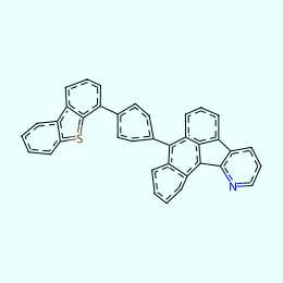 c1cnc2c(c1)-c1cccc3c(-c4ccc(-c5cccc6c5sc5ccccc56)cc4)c4ccccc4c-2c13